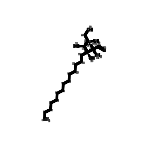 CCCCCCCCCCCCCC[C@@](O)([C@@H](O)[C@@H](N)CO)C(C)(C)C=O